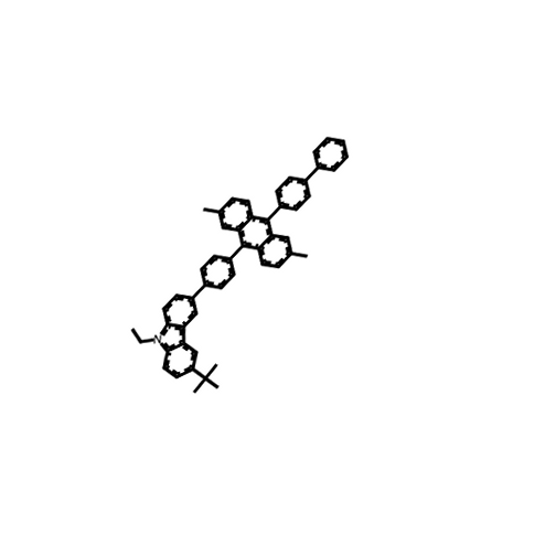 CCn1c2ccc(-c3ccc(-c4c5ccc(C)cc5c(-c5ccc(-c6ccccc6)cc5)c5ccc(C)cc45)cc3)cc2c2cc(C(C)(C)C)ccc21